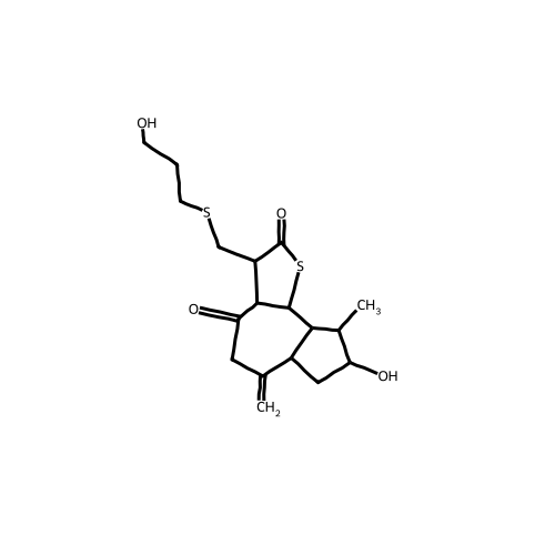 C=C1CC(=O)C2C(CSCCCO)C(=O)SC2C2C1CC(O)C2C